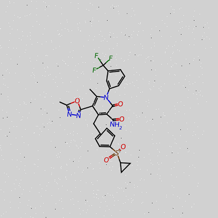 Cc1nnc(-c2c(Cc3ccc(S(=O)(=O)C4CC4)cc3)c(C(N)=O)c(=O)n(-c3cccc(C(F)(F)F)c3)c2C)o1